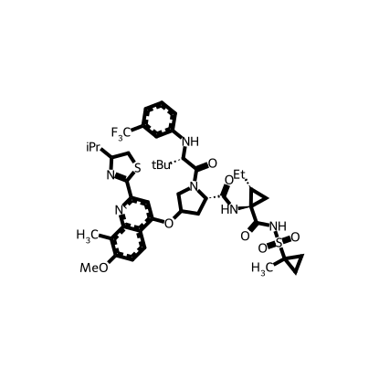 CC[C@@H]1C[C@]1(NC(=O)[C@@H]1CC(Oc2cc(C3=NC(C(C)C)CS3)nc3c(C)c(OC)ccc23)CN1C(=O)[C@@H](Nc1cccc(C(F)(F)F)c1)C(C)(C)C)C(=O)NS(=O)(=O)C1(C)CC1